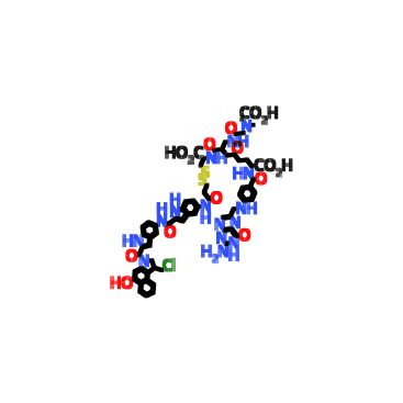 CN(CC(=O)O)CC(=O)NCC(CC(=O)CCC(NC(=O)c1ccc(NCc2cnc3nc(N)[nH]c(=O)c3n2)cc1)C(=O)O)C(=O)NC(CSSCCC(=O)Nc1ccc2[nH]c(C(=O)Nc3ccc4[nH]c(C(=O)N5CC(CCl)c6c5cc(O)c5ccccc65)cc4c3)cc2c1)C(=O)O